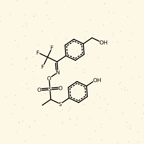 CC(Sc1ccc(O)cc1)S(=O)(=O)ON=C(c1ccc(CO)cc1)C(F)(F)F